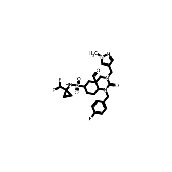 Cn1cc(CN2CC3(C=O)CC(S(=O)(=O)NC4(C(F)F)CC4)CCC3N(Cc3ccc(F)cc3)C2=O)cn1